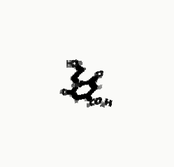 O=C(O)C1=CC(=O)N(CCO)C(=O)C1